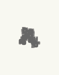 COC(=O)c1ccc2c(C3CCCCC3)c3n(c2c1)CC(NC(=O)N1C[C@@H](C)O[C@@H](C)C1)Cc1ccccc1-3